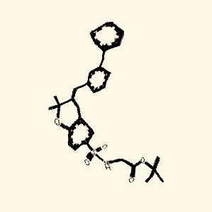 CC(C)(C)OC(=O)CNS(=O)(=O)c1ccc2c(c1)CC(Cc1cccc(-c3ccccc3)c1)C(C)(C)O2